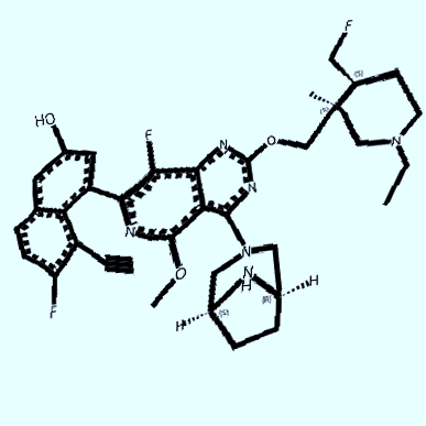 C#Cc1c(F)ccc2cc(O)cc(-c3nc(OC)c4c(N5C[C@H]6CC[C@@H](C5)N6)nc(OC[C@]5(C)CN(CC)CC[C@@H]5CF)nc4c3F)c12